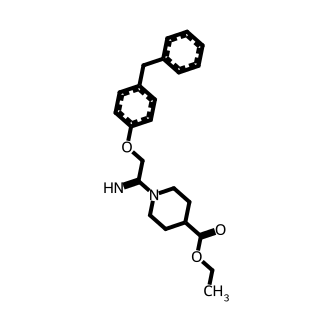 CCOC(=O)C1CCN(C(=N)COc2ccc(Cc3ccccc3)cc2)CC1